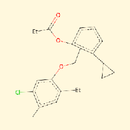 CCC(=O)Oc1cccc(C2CC2)c1COc1cc(Cl)c(C)cc1CC